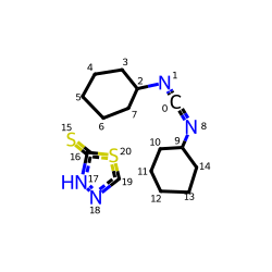 C(=NC1CCCCC1)=NC1CCCCC1.S=c1[nH]ncs1